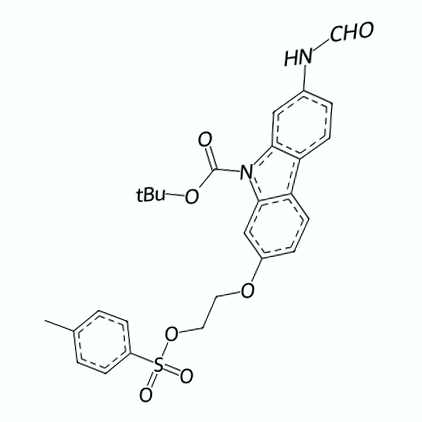 Cc1ccc(S(=O)(=O)OCCOc2ccc3c4ccc(NC=O)cc4n(C(=O)OC(C)(C)C)c3c2)cc1